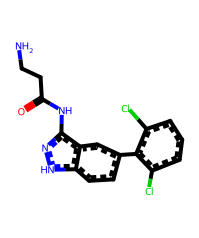 NCCC(=O)Nc1n[nH]c2ccc(-c3c(Cl)cccc3Cl)cc12